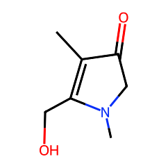 CC1=C(CO)N(C)CC1=O